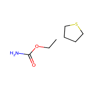 C1CCSC1.CCOC(N)=O